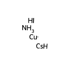 I.N.[CsH].[Cu]